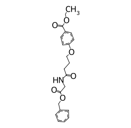 CCOC(=O)c1ccc(OCCCC(=O)NCC(=O)OCc2ccccc2)cc1